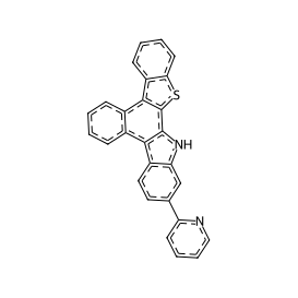 c1ccc(-c2ccc3c(c2)[nH]c2c4sc5ccccc5c4c4ccccc4c32)nc1